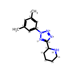 Cc1cc(C)cc(-n2nnc(C3CCCCN3)n2)c1